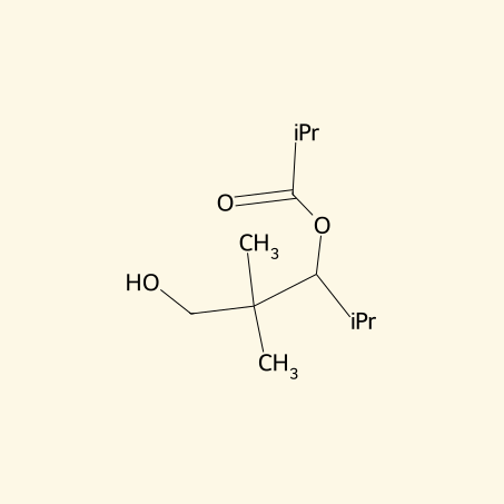 CC(C)C(=O)OC(C(C)C)C(C)(C)CO